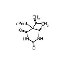 C=C(C)C1(CCCCC)C(=O)NC(=O)NC1=O